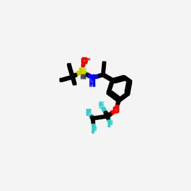 CC(N[S@+]([O-])C(C)(C)C)c1cccc(OC(F)(F)C(F)F)c1